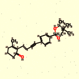 CC1=C(/C=C/C#Cc2ccc(C(=O)OC(C)[Si](C)(C)C)cc2)C(=O)CCC1